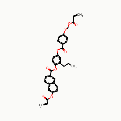 C=CC(=O)OCOc1ccc(C(=O)Oc2ccc(OC(=O)c3ccc4cc(OC(=O)C=C)ccc4c3)c(CCC)c2)cc1